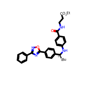 CCOC(=O)CCNC(=O)c1ccc(N[C@H](c2ccc(-c3nc(-c4ccccc4)no3)cc2)C(C)CC)cc1